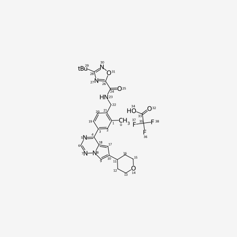 Cc1cc(-c2ncnn3cc(C4CCOCC4)cc23)ccc1CNC(=O)c1nc(C(C)(C)C)no1.O=C(O)C(F)(F)F